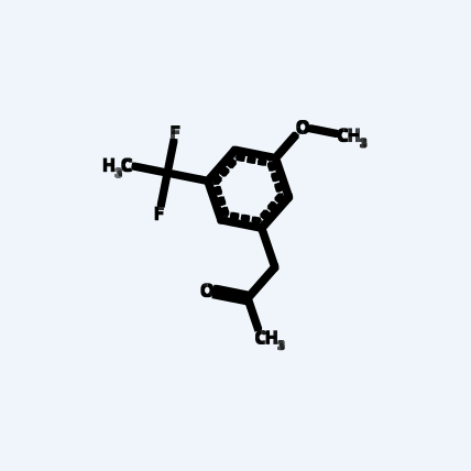 COc1cc(CC(C)=O)cc(C(C)(F)F)c1